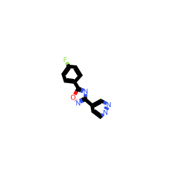 Fc1ccc(-c2nc(-c3ccnnc3)no2)cc1